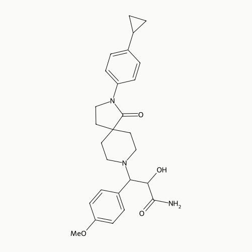 COc1ccc(C(C(O)C(N)=O)N2CCC3(CCN(c4ccc(C5CC5)cc4)C3=O)CC2)cc1